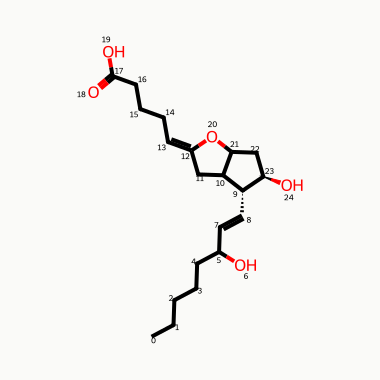 CCCCCC(O)C=C[C@@H]1C2CC(=CCCCC(=O)O)OC2C[C@H]1O